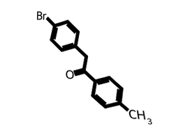 Cc1ccc(C(=O)Cc2ccc(Br)cc2)cc1